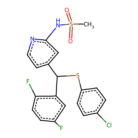 CS(=O)(=O)Nc1cc(C(Sc2ccc(Cl)cc2)c2cc(F)ccc2F)ccn1